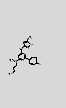 CCCCN(C)c1cc(Nc2cc(C)[nH]n2)nc(-c2ccc(Cl)cc2)n1